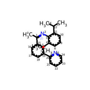 C/C(=N/c1c(C(C)C)cccc1C(C)C)c1cccc(-c2ccccn2)c1